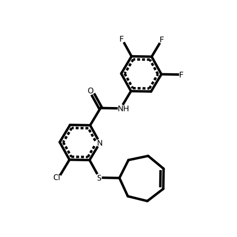 O=C(Nc1cc(F)c(F)c(F)c1)c1ccc(Cl)c(SC2CCC=CCC2)n1